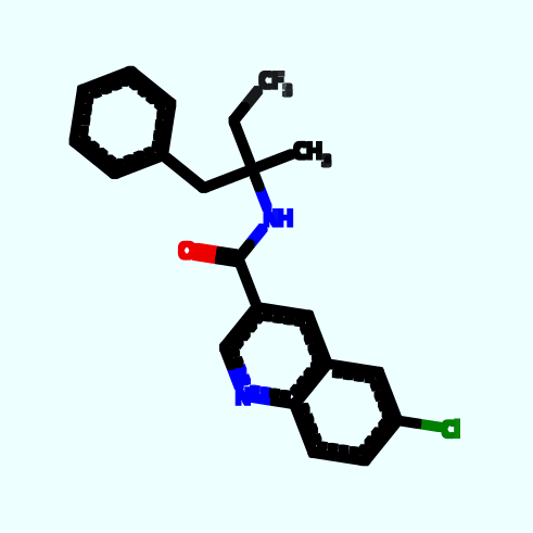 CC(Cc1ccccc1)(CC(F)(F)F)NC(=O)c1cnc2ccc(Cl)cc2c1